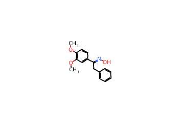 COc1ccc(C(Cc2ccccc2)=NO)cc1OC